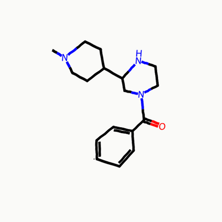 CN1CCC(C2CN(C(=O)c3cc[c]cc3)CCN2)CC1